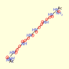 CC(=O)CN[C@@H](CCCCNC(=O)COCCOCCNC(=O)COCCOCCNC(=O)CCCC(=O)NCCOCCOCC(=O)NCCOCCOCC(=O)NCCCC[C@H](NCC(C)=O)C(N)=O)C(N)=O